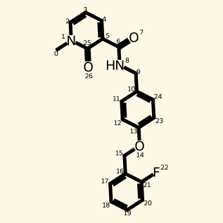 Cn1cccc(C(=O)NCc2ccc(OCc3ccccc3F)cc2)c1=O